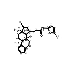 Cc1cnc(NC(=O)CC[C@@H]2CC(=O)[C@@]3(C)CC[C@@H]4c5ccccc5CC[C@H]4[C@H]23)s1